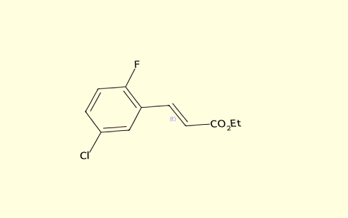 CCOC(=O)/C=C/c1cc(Cl)ccc1F